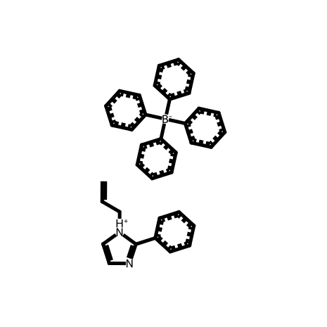 C=CC[NH+]1C=CN=C1c1ccccc1.c1ccc([B-](c2ccccc2)(c2ccccc2)c2ccccc2)cc1